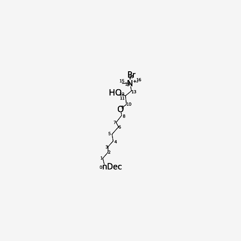 CCCCCCCCCCCCCCCCCCOCC(O)C[N+](C)(C)Br